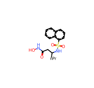 CCCC(CC(=O)NO)NS(=O)(=O)c1cccc2ccccc12